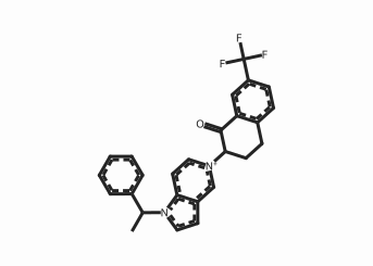 CC(c1ccccc1)n1ccc2c[n+](C3CCc4ccc(C(F)(F)F)cc4C3=O)ccc21